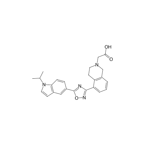 CC(C)n1ccc2cc(-c3nc(-c4cccc5c4CCN(CC(=O)O)C5)no3)ccc21